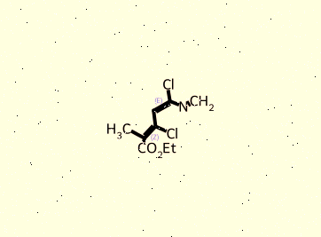 C=N/C(Cl)=C\C(Cl)=C(/C)C(=O)OCC